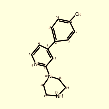 Clc1ccc(-c2ccnc(N3CCNCC3)c2)cc1